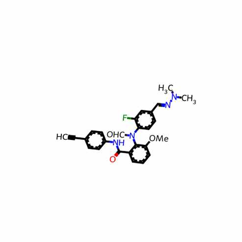 C#Cc1ccc(NC(=O)c2cccc(OC)c2N(C=O)c2ccc(C=NN(C)C)cc2F)cc1